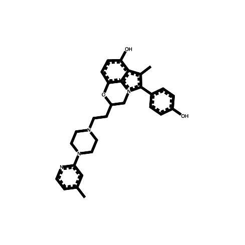 Cc1ccnc(N2CCN(CCC3Cn4c(-c5ccc(O)cc5)c(C)c5c(O)ccc(c54)O3)CC2)c1